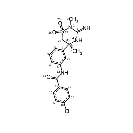 CN1C(=N)N[C@](C)(c2cccc(NC(=O)c3ccc(Cl)cc3)c2)CS1(=O)=O